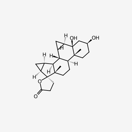 C[C@]12CC[C@H]3[C@@H]([C@H]4C[C@H]4[C@]4(O)C[C@@H](O)CC[C@]34C)[C@@H]1[C@@H]1C[C@@H]1[C@@]21CCC(=O)O1